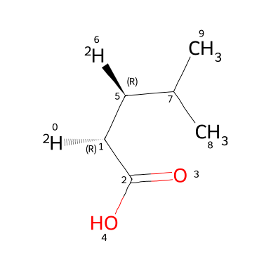 [2H][C@@H](C(=O)O)[C@@H]([2H])C(C)C